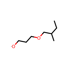 CCC(C)COCCC[O]